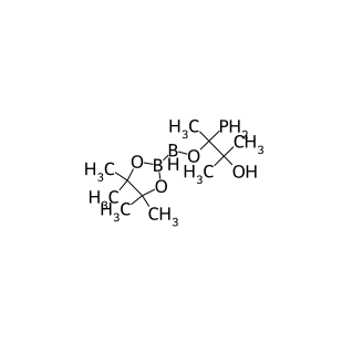 CC(C)(O)C(C)(P)OBB1OC(C)(C)C(C)(C)O1